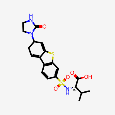 CC(C)[C@H](NS(=O)(=O)c1ccc2c3c(sc2c1)=CC(N1CCNC1=O)CC=3)C(=O)O